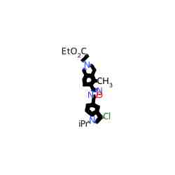 CCOC(=O)CCN1CCc2c(ccc(-c3noc(-c4ccc5c(c4)c(Cl)cn5C(C)C)n3)c2C)C1